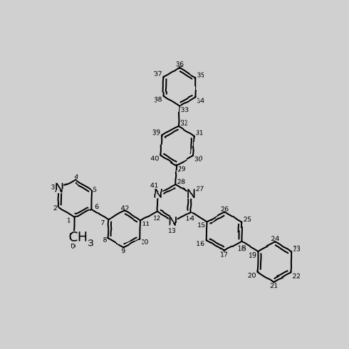 Cc1cnccc1-c1cccc(-c2nc(-c3ccc(-c4ccccc4)cc3)nc(-c3ccc(-c4ccccc4)cc3)n2)c1